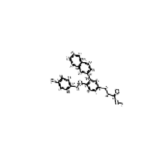 COC(=O)CCc1ccc(OCc2ccc(F)cc2)c(-c2ccc3ccccc3c2)c1